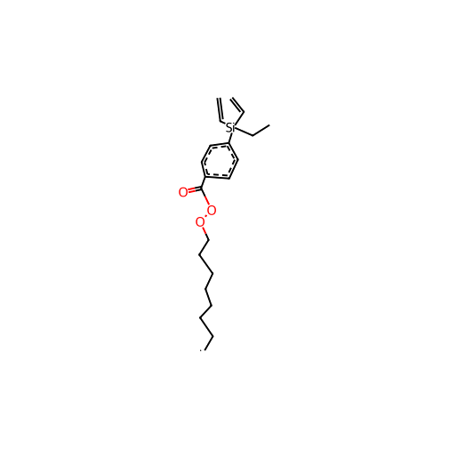 [CH2]CCCCCCCOOC(=O)c1ccc([Si](C=C)(C=C)CC)cc1